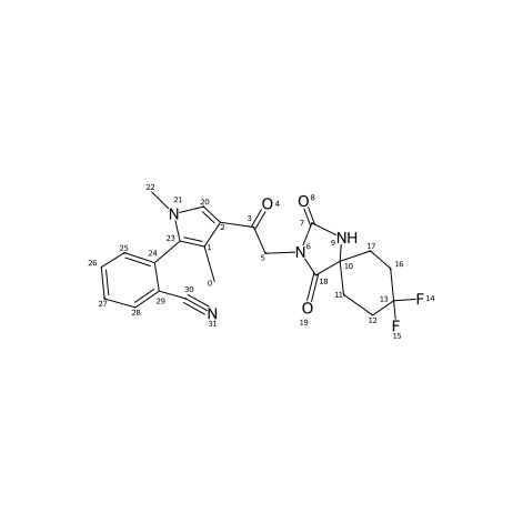 Cc1c(C(=O)CN2C(=O)NC3(CCC(F)(F)CC3)C2=O)cn(C)c1-c1ccccc1C#N